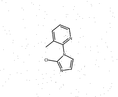 Cc1cccnc1-n1ccnc1Cl